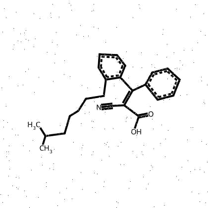 CC(C)CCCCCc1ccccc1C(=C(C#N)C(=O)O)c1ccccc1